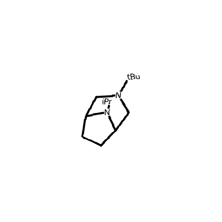 CC(C)N1C2CCC1CN(C(C)(C)C)C2